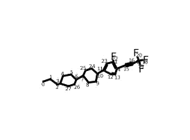 CCCC1CCC(C2CCC(c3ccc(C#CC(F)(F)F)c(F)c3)CC2)CC1